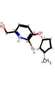 C[C@H]1CC[C@@H](Oc2ccc(CO)nc2Br)C1